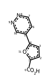 O=C(O)c1ccc(-c2ccnnc2)o1